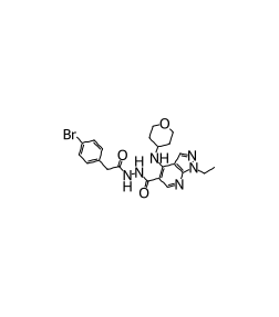 CCn1ncc2c(NC3CCOCC3)c(C(=O)NNC(=O)Cc3ccc(Br)cc3)cnc21